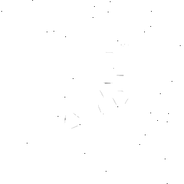 COC(=O)CNC(=O)c1ccc(C2=NOC(c3cc(Cl)c(F)c(Cl)c3)C2C(F)(F)F)c2ccccc12